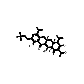 CC(=O)C1=C(O)C(C(C)C)[C@@]2(C)C[C@@]3(C)Cc4c(C(C)C)cc(CCC(C)(C)C)c(O)c4C(=O)C3=C(O)[C@@]2(O)C1=O